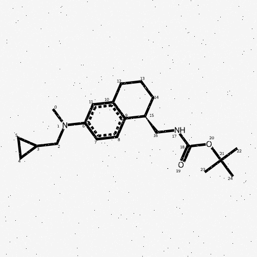 CN(CC1CC1)c1ccc2c(c1)CCC[C@H]2CNC(=O)OC(C)(C)C